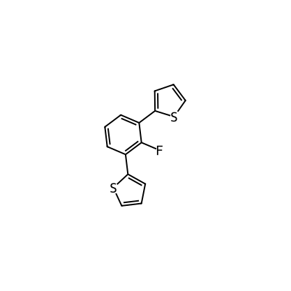 Fc1c(-c2cccs2)cccc1-c1cccs1